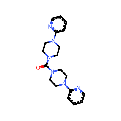 O=C(N1CCN(c2ccccn2)CC1)N1CCN(c2ccccn2)CC1